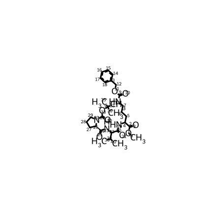 COC(=O)C(CCCNC(=O)OCc1ccccc1)NC(=O)C(NC(=O)[C@H]1CCCN1C(=O)OC(C)(C)C)C(C)C